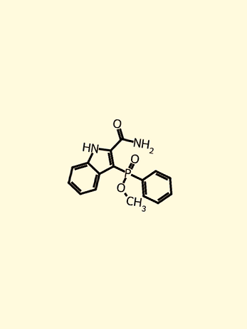 COP(=O)(c1ccccc1)c1c(C(N)=O)[nH]c2ccccc12